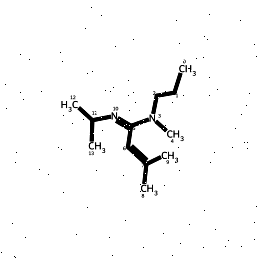 CCCN(C)/C(C=C(C)C)=N/C(C)C